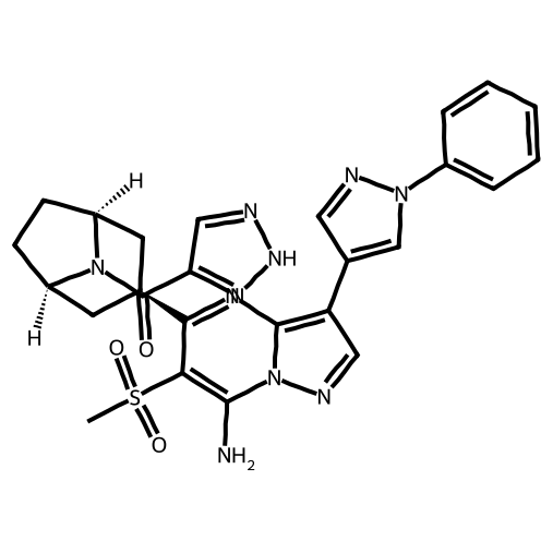 CS(=O)(=O)c1c([C@H]2C[C@H]3CC[C@@H](C2)N3C(=O)c2cn[nH]n2)nc2c(-c3cnn(-c4ccccc4)c3)cnn2c1N